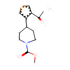 CCCCOC(=O)N1CCC(c2cscc2C(=O)OC)CC1